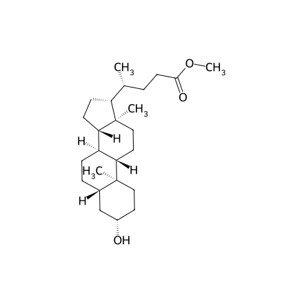 COC(=O)CC[C@@H](C)[C@H]1CC[C@H]2[C@@H]3CC[C@H]4C[C@@H](O)CC[C@]4(C)[C@H]3CC[C@]12C